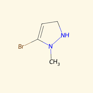 CN1NCC=C1Br